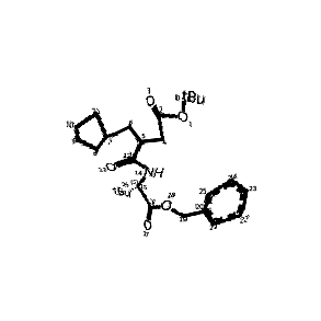 CC(C)(C)OC(=O)CC(CC1CCCC1)C(=O)N[C@H](C(=O)OCc1ccccc1)C(C)(C)C